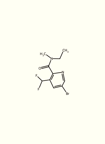 CCN(C)C(=O)c1ncc(Br)cc1C(F)F